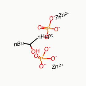 CCCCCCCC(O)CCCC.O=P([O-])([O-])[O-].O=P([O-])([O-])[O-].[Zn+2].[Zn+2].[Zn+2]